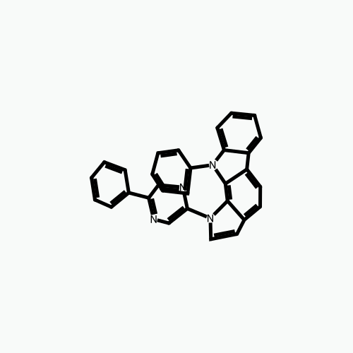 c1ccc(-c2cnc(-n3ccc4ccc5c6ccccc6n(-c6ccccc6)c5c43)cn2)cc1